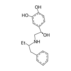 CCC(Cc1ccccc1)NC[C@H](O)c1ccc(O)c(O)c1